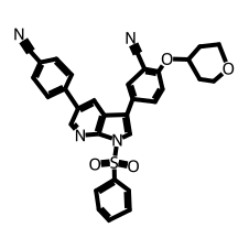 N#Cc1ccc(-c2cnc3c(c2)c(-c2ccc(OC4CCOCC4)c(C#N)c2)cn3S(=O)(=O)c2ccccc2)cc1